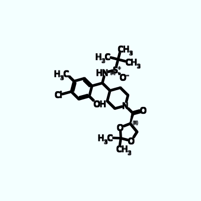 Cc1cc(C(N[S@@+]([O-])C(C)(C)C)C2CCN(C(=O)[C@H]3COC(C)(C)O3)CC2)c(O)cc1Cl